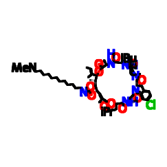 C/C=C(\C)[C@H]1OC(=O)[C@@H](C)NC(=O)[C@H]([C@H](C)CC)NC(=O)CN(C)C(=O)[C@@H](Cc2ccc(Cl)cc2)N(C)C(=O)[C@H](C)NC(=O)[C@@H](CC(C)C)OC(=O)/C(C)=C/C[C@H](OC(=O)N(C)CCCCCCCCCCCCNC)[C@@H]1C